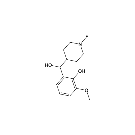 COc1cccc(C(O)C2CCN(F)CC2)c1O